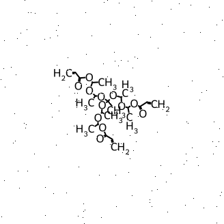 C=CC(=O)OC(C)OC(C)OC(CC)(OC(C)OC(C)OC(=O)C=C)OC(C)OC(C)OC(=O)C=C